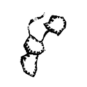 O=C=Nc1cc2ccccc2nc1-c1ccccc1